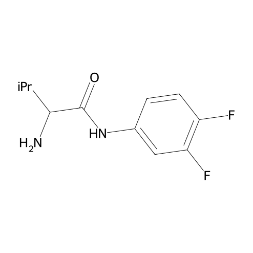 CC(C)C(N)C(=O)Nc1ccc(F)c(F)c1